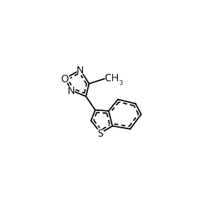 Cc1nonc1-c1csc2ccccc12